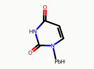 O=c1cc[n]([PbH])c(=O)[nH]1